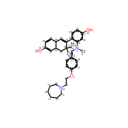 CCN(Cc1ccc(OCCN2CCCCCC2)cc1)c1cc(O)ccc1C1=CC2C=CC(O)=CC2CC1(C)C